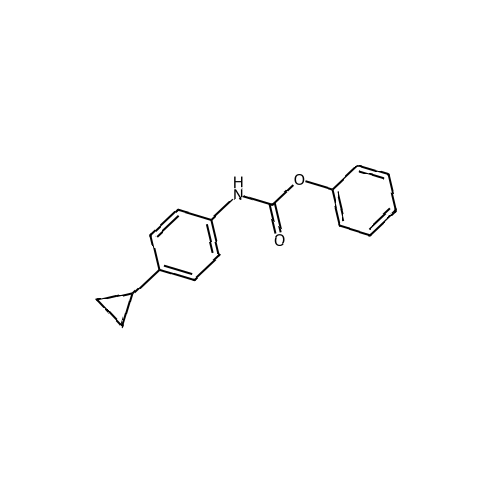 O=C(Nc1ccc(C2CC2)cc1)Oc1ccccc1